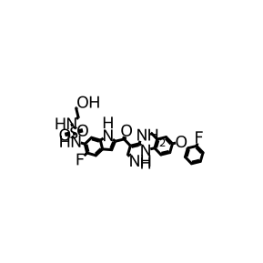 Cc1cc(Oc2ccccc2F)ccc1N/C(N)=C(\C=N)C(=O)c1cc2cc(F)c(NS(=O)(=O)NCCO)cc2[nH]1